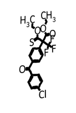 CCOC(=O)C(C(=S)OCC)(c1ccc(C(=O)c2ccc(Cl)cc2)cc1)C(F)(F)F